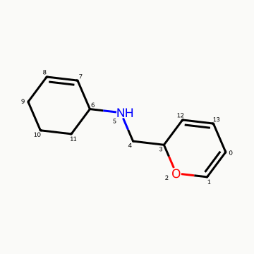 C1=COC(CNC2C=CCCC2)C=C1